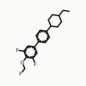 CCC1CCC(c2ccc(-c3cc(F)c(OCF)c(F)c3)cc2)CC1